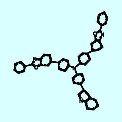 c1ccc(-c2nc3ccc(-c4ccc(N(c5ccc(-c6cnc7ccccc7c6)cc5)c5ccc(-c6ccc7nc(-c8ccccc8)oc7c6)cc5)cc4)cc3o2)cc1